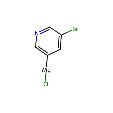 [Cl][Mg][c]1cncc(Br)c1